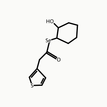 O=C(Cc1ccsc1)[Se]C1CCCCC1O